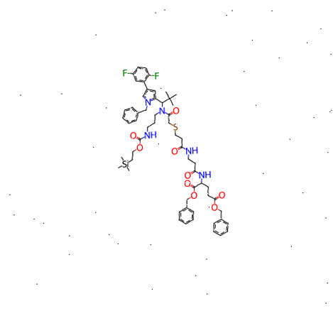 CC(C)(C)C(c1cc(-c2cc(F)ccc2F)cn1Cc1ccccc1)N(CCCNC(=O)OCC[Si](C)(C)C)C(=O)CSCCC(=O)NCCC(=O)NC(CCC(=O)OCc1ccccc1)C(=O)OCc1ccccc1